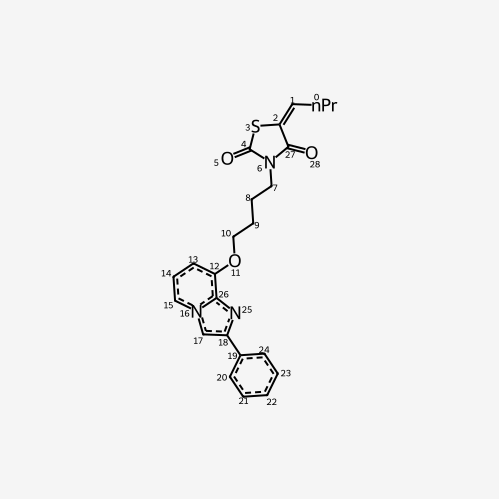 CCC/C=C1/SC(=O)N(CCCCOc2cccn3cc(-c4ccccc4)nc23)C1=O